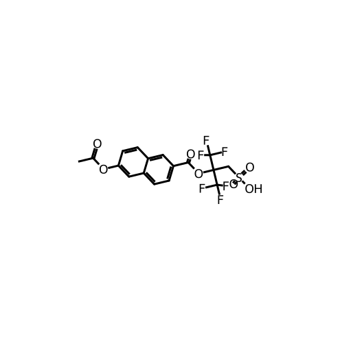 CC(=O)Oc1ccc2cc(C(=O)OC(CS(=O)(=O)O)(C(F)(F)F)C(F)(F)F)ccc2c1